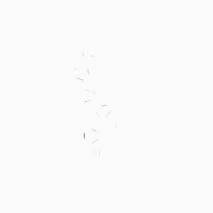 COc1ccc(-c2nc(-c3cc(C(=O)O)c(C)n3Cc3ccc(C)c(C)c3)cs2)cc1